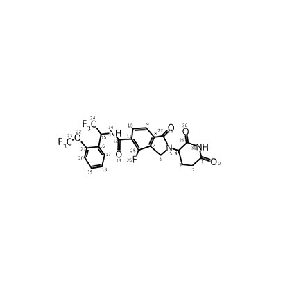 O=C1CCC(N2Cc3c(ccc(C(=O)NC(c4ccccc4OC(F)(F)F)C(F)(F)F)c3F)C2=O)C(=O)N1